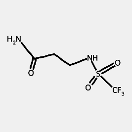 NC(=O)CCNS(=O)(=O)C(F)(F)F